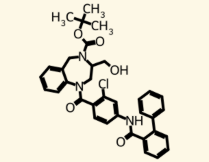 CC(C)(C)OC(=O)N1Cc2ccccc2N(C(=O)c2ccc(NC(=O)c3ccccc3-c3ccccc3)cc2Cl)CC1CO